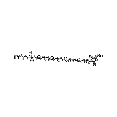 CC(C)CCCCNC(=O)CCOCCOCCOCCOCCOCCOCCOCCOCCN1C(=O)CC(C(C)(C)C)C1=O